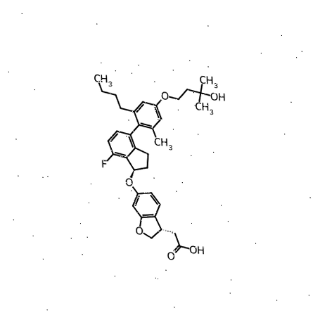 CCCCc1cc(OCCC(C)(C)O)cc(C)c1-c1ccc(F)c2c1CC[C@H]2Oc1ccc2c(c1)OC[C@H]2CC(=O)O